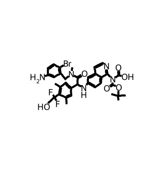 Cc1cc(C(Nc2ccc3c(N(C(=O)O)C(=O)OC(C)(C)C)nccc3c2)C(=O)N(C)Cc2cc(N)ccc2Br)cc(C)c1C(F)(F)CO